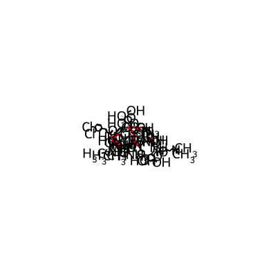 CN[C@H](CC(C)C)C(=O)N[C@H]1C(=O)N[C@@H](CC(N)=O)C(=O)N[C@H]2C(=O)N[C@H]3C(=O)N[C@H](C(=O)N[C@@H](C(=O)NOCCCN(C)C)c4cc(O)cc(O)c4-c4cc3ccc4O)[C@H](O)c3ccc(c(Cl)c3)Oc3cc2cc(c3O[C@@H]2O[C@H](CO)[C@@H](O)[C@H](O)[C@H]2O[C@H]2C[C@](C)(NCCn3ccc(NC(=O)/C=C/c4ccc(Cl)c(Cl)c4)nc3=O)[C@H](O)[C@H](C)O2)Oc2ccc(cc2Cl)[C@H]1O